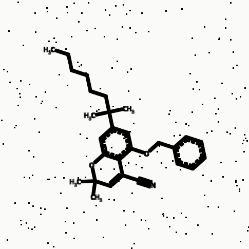 CCCCCCC(C)(C)c1cc(OCc2ccccc2)c2c(c1)OC(C)(C)C=C2C#N